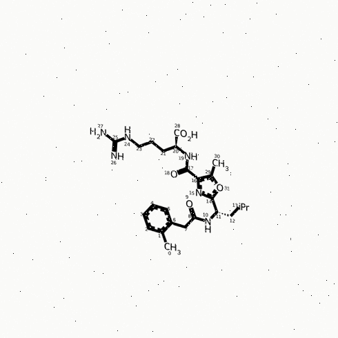 Cc1ccccc1CC(=O)N[C@@H](CC(C)C)c1nc(C(=O)N[C@@H](CCCNC(=N)N)C(=O)O)c(C)o1